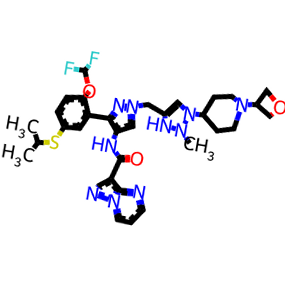 CC(C)Sc1ccc(OC(F)F)c(-c2nn(CC3=CN(C4CCN(C5COC5)CC4)N(C)N3)cc2NC(=O)c2cnn3cccnc23)c1